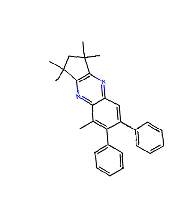 Cc1c(-c2ccccc2)c(-c2ccccc2)cc2nc3c(nc12)C(C)(C)CC3(C)C